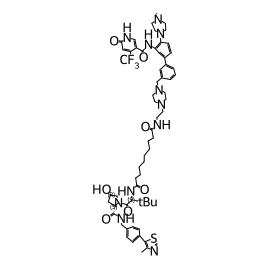 Cc1ncsc1-c1ccc(CNC(=O)[C@@H]2C[C@@H](O)CN2C(=O)[C@@H](NC(=O)CCCCCCCCC(=O)NCCN2CCN(Cc3cccc(-c4ccc(N5CCN(C)CC5)c(NC(=O)c5c[nH]c(=O)cc5C(F)(F)F)c4)c3)CC2)C(C)(C)C)cc1